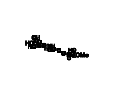 COC1CCC(C(=O)NCCOCCOCCOCC(=O)NCCOCCOC2OC(CO)C(O)C(O)C2N)OC1CO